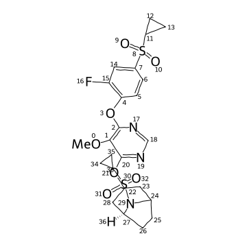 COc1c(Oc2ccc(S(=O)(=O)C3CC3)cc2F)ncnc1OC1CC2CC[C@@H](C1)N2S(=O)(=O)C1CC1